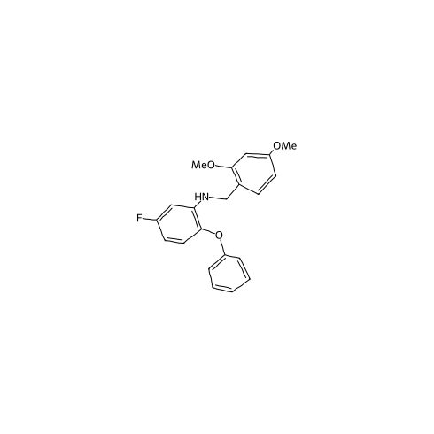 COc1ccc(CNc2cc(F)ccc2Oc2ccccc2)c(OC)c1